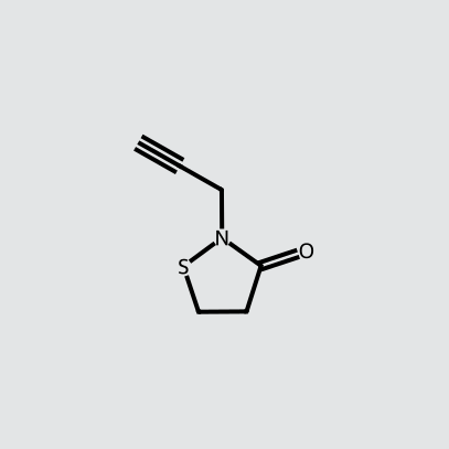 C#CCN1SCCC1=O